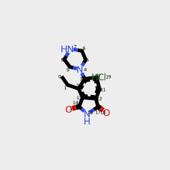 CCc1c(N2CCNCC2)ccc2c1C(=O)NC2=O.Cl